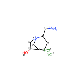 Cl.Cl.NCC1CCC2CN1CC2O